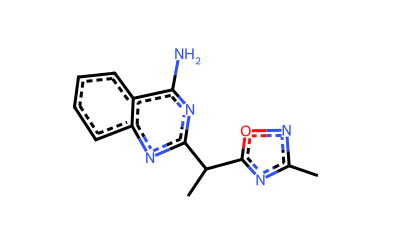 Cc1noc(C(C)c2nc(N)c3ccccc3n2)n1